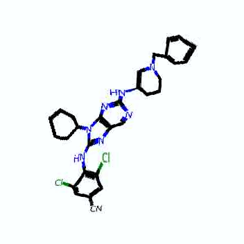 N#Cc1cc(Cl)c(Nc2nc3cnc(N[C@@H]4CCCN(Cc5ccccc5)C4)nc3n2C2CCCCC2)c(Cl)c1